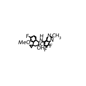 COc1c(F)ccc2c1C1(CC1)C[C@@](O)(C(F)(F)F)[C@H]2Nc1cc(F)c(F)c2nc(C)ncc12